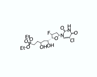 CCOP(=O)(CCC(O)CC(O)[C@H]1O[C@@H](n2cc(Cl)c(=O)[nH]c2=O)CC1F)OCC